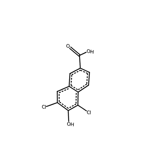 O=C(O)c1ccc2c(Cl)c(O)c(Cl)cc2c1